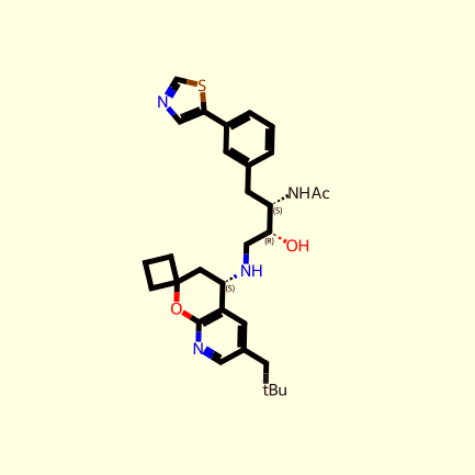 CC(=O)N[C@@H](Cc1cccc(-c2cncs2)c1)[C@H](O)CN[C@H]1CC2(CCC2)Oc2ncc(CC(C)(C)C)cc21